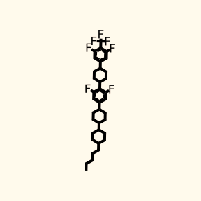 CCCCCC1CCC(C2CCC(c3cc(F)c(C4CCC(c5cc(F)c(C(F)(F)F)c(F)c5)CC4)c(F)c3)CC2)CC1